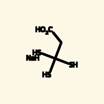 O=C(O)CC(S)(S)S.[NaH]